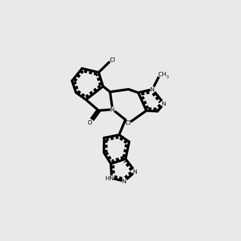 Cn1ncc(Cl)c1CC1c2c(Cl)cccc2C(=O)N1Cc1ccc2[nH]nnc2c1